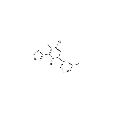 CC(=O)c1nn(-c2cccc(Cl)c2)c(=O)c(-c2nccs2)c1C